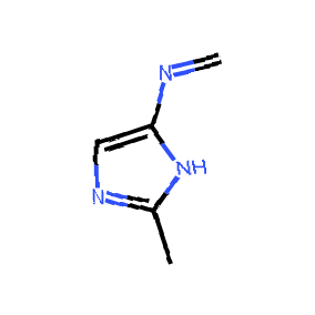 C=Nc1cnc(C)[nH]1